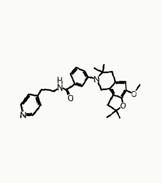 COc1cc2c(c3c1OC(C)(C)C3)CN(c1cccc(C(=O)NCCc3ccncc3)c1)C(C)(C)C2